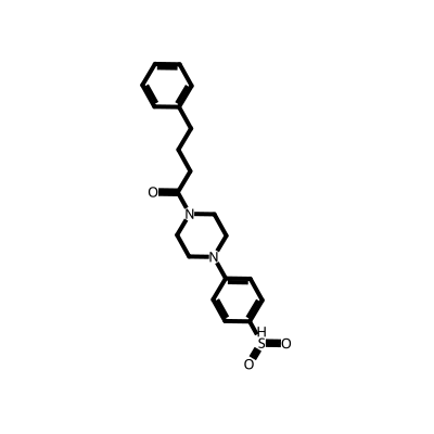 O=C(CCCc1ccccc1)N1CCN(c2ccc([SH](=O)=O)cc2)CC1